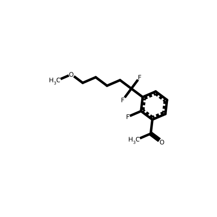 COCCCCC(F)(F)c1cccc(C(C)=O)c1F